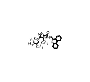 CCn1c(C(=O)NCc2nc3ccccc3c3ccccc23)nnc1N(C)CC(C)N